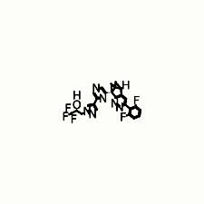 CC1(C)[C@H]2CC[C@]1(c1cncc(-c3cnn(C[C@@H](O)C(F)(F)F)c3)n1)c1nnc(-c3c(F)cccc3F)cc12